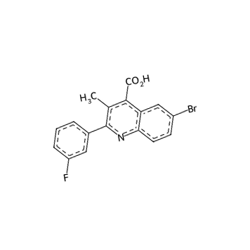 Cc1c(-c2cccc(F)c2)nc2ccc(Br)cc2c1C(=O)O